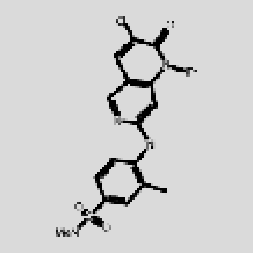 CNS(=O)(=O)c1ccc(Nc2cc3c(cn2)cc(Cl)c(=O)n3C(C)C)c(C)c1